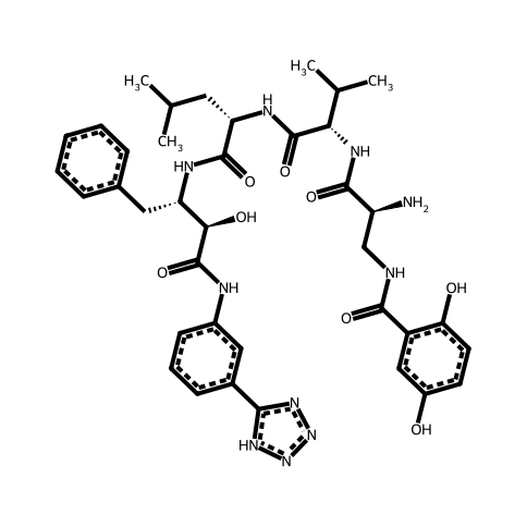 CC(C)C[C@H](NC(=O)[C@@H](NC(=O)[C@@H](N)CNC(=O)c1cc(O)ccc1O)C(C)C)C(=O)N[C@@H](Cc1ccccc1)[C@@H](O)C(=O)Nc1cccc(-c2nnn[nH]2)c1